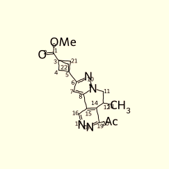 COC(=O)C12CC(c3cc4n(n3)CC(C)c3c-4cnnc3C(C)=O)(C1)C2